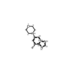 Fc1cc(N2CCOCC2)cn2ncnc12